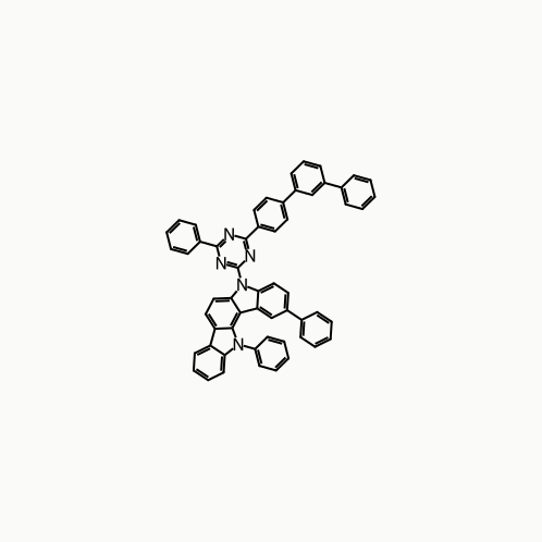 c1ccc(-c2cccc(-c3ccc(-c4nc(-c5ccccc5)nc(-n5c6ccc(-c7ccccc7)cc6c6c5ccc5c7ccccc7n(-c7ccccc7)c56)n4)cc3)c2)cc1